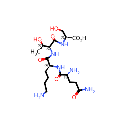 C[C@@H](O)[C@H](NC(=O)[C@H](CCCCN)NC(=O)[C@@H](N)CCC(N)=O)C(=O)N[C@@H](CO)C(=O)O